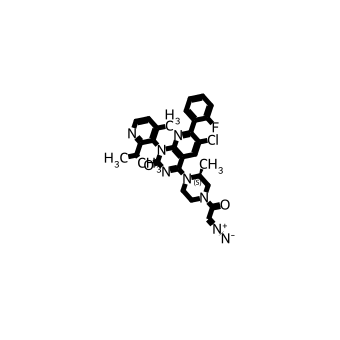 Cc1ccnc(C(C)C)c1-n1c(=O)nc(N2CCN(C(=O)C=[N+]=[N-])C[C@@H]2C)c2cc(Cl)c(-c3ccccc3F)nc21